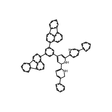 C1=C(c2cc(-c3ccc4c5c(cccc35)-c3ccccc3-4)cc(-c3ccc4c5c(cccc35)-c3ccccc3-4)c2)C=C(c2ccc(-c3ccccc3)cn2)NC1C1=CC=C(c2ccccc2)CN1